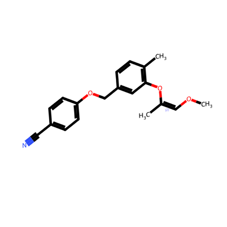 CO/C=C(/C)Oc1cc(COc2ccc(C#N)cc2)ccc1C